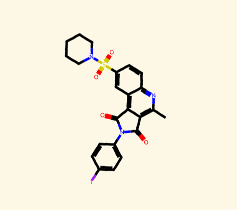 Cc1nc2ccc(S(=O)(=O)N3CCCCC3)cc2c2c1C(=O)N(c1ccc(I)cc1)C2=O